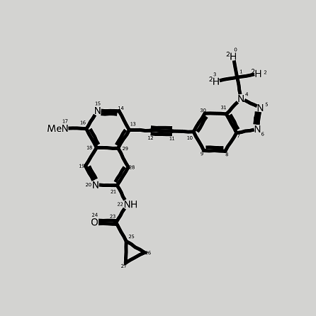 [2H]C([2H])([2H])n1nnc2ccc(C#Cc3cnc(NC)c4cnc(NC(=O)C5CC5)cc34)cc21